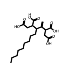 C=C(C(CC(=O)O)C(=O)O)C(CCCCCCCCC)C(CC(=O)O)C(=O)O